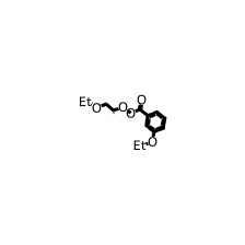 CCOC[CH]OOC(=O)c1cccc(OCC)c1